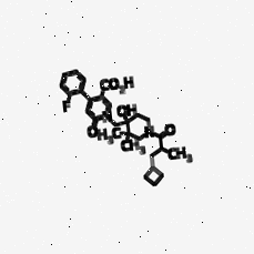 CC(CC1CCC1)C(=O)N1CC[C@@](O)(Cn2cc(C(=O)O)c(-c3ccccc3F)cc2=O)C(C)(C)C1